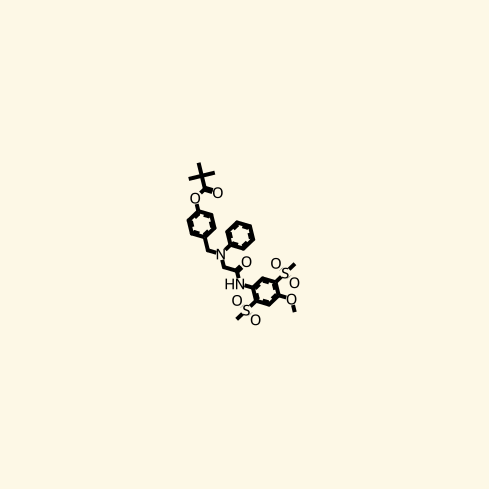 COc1cc(S(C)(=O)=O)c(NC(=O)CN(Cc2ccc(OC(=O)C(C)(C)C)cc2)c2ccccc2)cc1S(C)(=O)=O